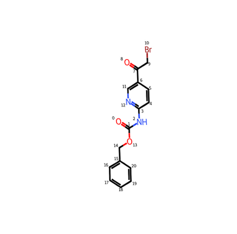 O=C(Nc1ccc(C(=O)CBr)cn1)OCc1ccccc1